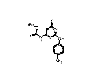 CC(C)(C)OC(=O)Nc1cc(Cl)nc(Nc2ccc(C(F)(F)F)cc2)n1